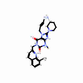 CC#CCn1c(N2CCC[C@@H](N)C2)nc2c1c(=O)n(Cc1ccc3cccc(C#N)c3n1)c(=O)n2C